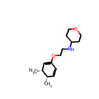 C[C@@H]1C=C(OCCNC2CCOCC2)C=C[C@@H]1C